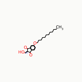 CCCCCCCCCCCCOc1ccc2c(c1)C(=O)/C(=C\O)C2=O